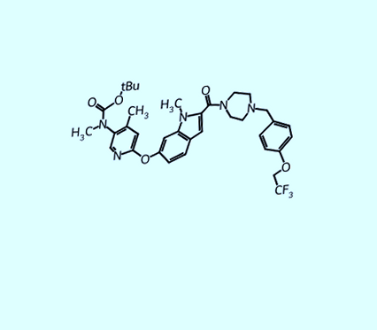 Cc1cc(Oc2ccc3cc(C(=O)N4CCN(Cc5ccc(OCC(F)(F)F)cc5)CC4)n(C)c3c2)ncc1N(C)C(=O)OC(C)(C)C